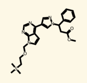 COC(=O)CC(c1ccccc1)n1cc(-c2ncnc3c2ccn3COCCS(C)(C)C)cn1